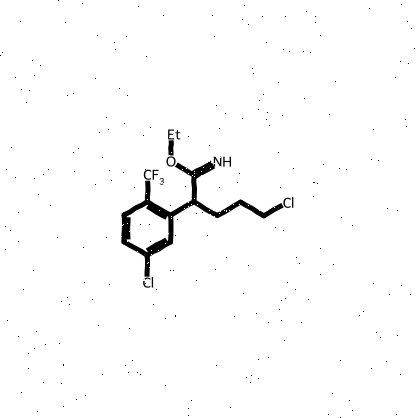 CCOC(=N)C(CCCCl)c1cc(Cl)ccc1C(F)(F)F